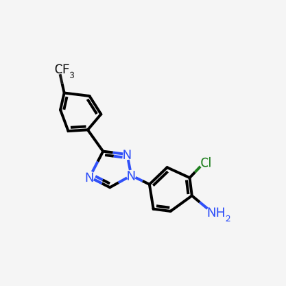 Nc1ccc(-n2cnc(-c3ccc(C(F)(F)F)cc3)n2)cc1Cl